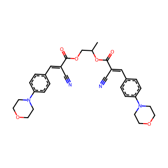 CC(COC(=O)/C(C#N)=C/c1ccc(N2CCOCC2)cc1)OC(=O)/C(C#N)=C/c1ccc(N2CCOCC2)cc1